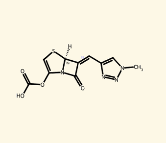 Cn1cc(/C=C2\C(=O)N3C(OC(=O)O)=CS[C@@H]23)nn1